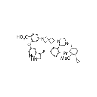 COc1cc(CN2CCN(C3CC4(C3)CN(c3ccc(C(=O)O)c(Oc5cnc6[nH]cc(F)c6c5)c3)C4)[C@H](c3ccccc3C(C)C)C2)ccc1C1CC1